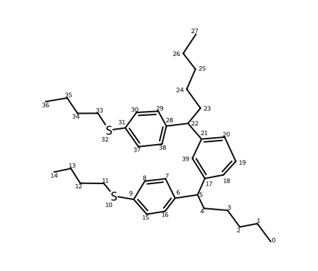 CCCCCC(c1ccc(SCCCC)cc1)c1cccc(C(CCCCC)c2ccc(SCCCC)cc2)c1